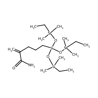 C=C(CCC[Si](O[Si](C)(C)CC)(O[Si](C)(C)CC)O[Si](C)(C)CC)C(N)=O